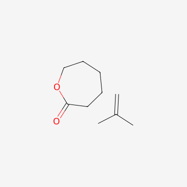 C=C(C)C.O=C1CCCCCO1